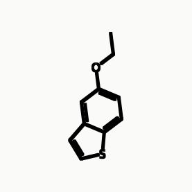 CCOc1ccc2sccc2c1